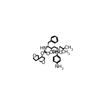 CC(C)CN(C[C@@H](O)[C@H](Cc1ccccc1)NC(=O)O[C@H]1COC[C@@]12CCOC2)S(=O)(=O)c1ccc(N)cc1